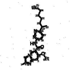 CCOc1cc2nc(C)cn2cc1C(=O)Nc1ccc(C(C)CCCCC(C)(C)C)nn1